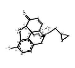 O=C1C=C[C@@]2(O)C3Cc4ccc(O)c5c4C2(CCN3CC2CC2)[C@H]1O5